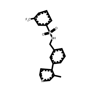 Cc1cnccc1-c1cccc(CNS(=O)(=O)c2cccc(C(F)(F)F)c2)c1